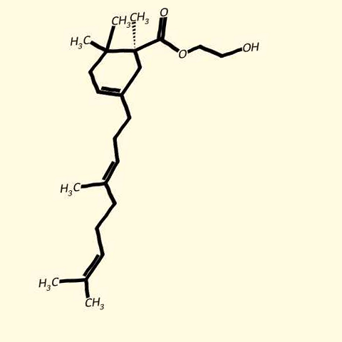 CC(C)=CCC/C(C)=C/CCC1=CCC(C)(C)[C@@](C)(C(=O)OCCO)C1